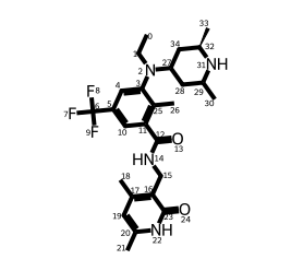 CCN(c1cc(C(F)(F)F)cc(C(=O)NCc2c(C)cc(C)[nH]c2=O)c1C)C1CC(C)N[C@H](C)C1